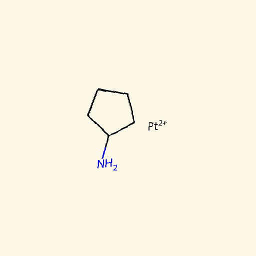 NC1CCCC1.[Pt+2]